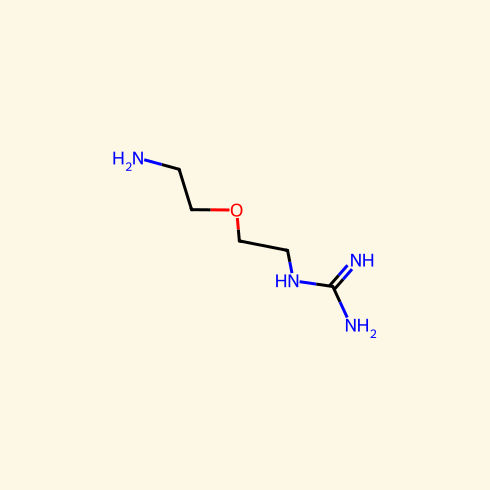 N=C(N)NCCOCCN